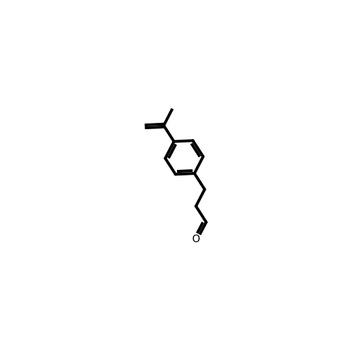 C=C(C)c1ccc(CCC=O)cc1